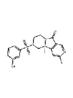 Cc1cc2c(cn1)C(=O)N1CCN(S(=O)(=O)c3cccc(C#N)c3)CC21C